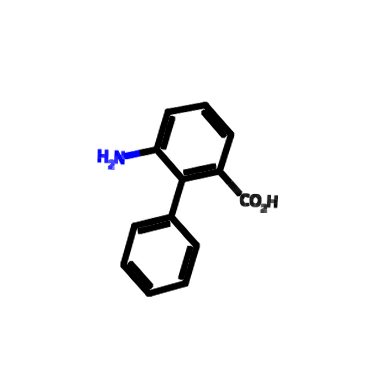 Nc1cccc(C(=O)O)c1-c1ccccc1